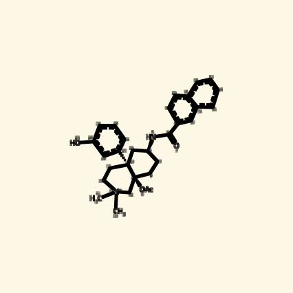 CC(=O)O[C@]12CC[C@H](NC(=O)c3ccc4ccccc4c3)C[C@]1(c1cccc(O)c1)CC[N+](C)(C)C2